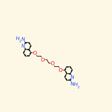 Nc1ccc2c(OCCOCCOCCOc3cccc4nc(N)ccc34)cccc2n1